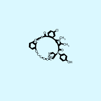 Cc1c2cc(n1C)-c1cc(Cl)ccc1C(=O)N1CCc3c(cccc3OCCCCC/C=C(\C=N/N)N(c3ccc(O)cc3)C2=O)C1